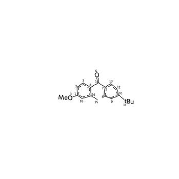 COc1ccc(C(=O)c2ccc(C(C)(C)C)cc2)c(C)c1